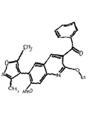 CCOc1nc2cc(OC)c(-c3c(C)noc3C)cc2cc1C(=O)c1ccccc1